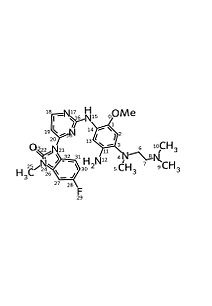 COc1cc(N(C)CCN(C)C)c(N)cc1Nc1nccc(-n2c(=O)n(C)c3cc(F)ccc32)n1